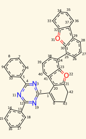 C1=C(c2nc(-c3ccccc3)nc(-c3ccccc3)n2)c2c(oc3c(-c4cccc5c4oc4ccccc45)cccc23)CC1